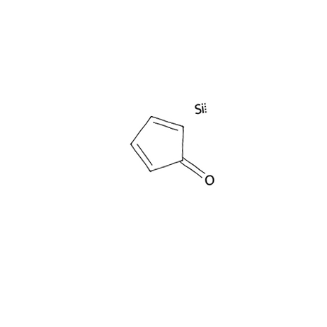 O=C1C=CC=C1.[Si]